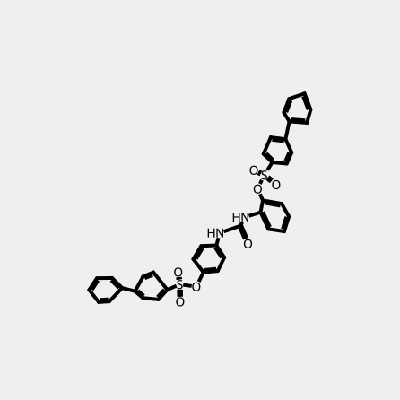 O=C(Nc1ccc(OS(=O)(=O)c2ccc(-c3ccccc3)cc2)cc1)Nc1ccccc1OS(=O)(=O)c1ccc(-c2ccccc2)cc1